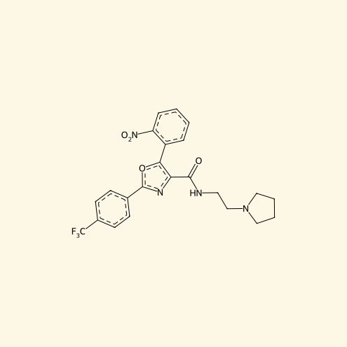 O=C(NCCN1CCCC1)c1nc(-c2ccc(C(F)(F)F)cc2)oc1-c1ccccc1[N+](=O)[O-]